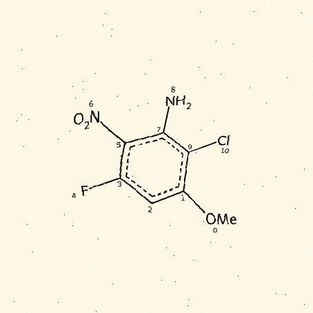 COc1cc(F)c([N+](=O)[O-])c(N)c1Cl